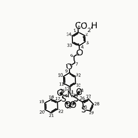 O=C(O)c1ccc(OCCOc2ccc(N(S(=O)(=O)c3ccccc3)S(=O)(=O)c3cccs3)cc2)cc1